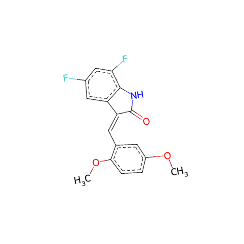 COc1ccc(OC)c(C=C2C(=O)Nc3c(F)cc(F)cc32)c1